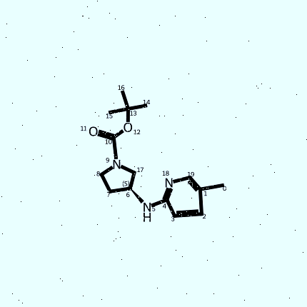 Cc1ccc(N[C@H]2CCN(C(=O)OC(C)(C)C)C2)nc1